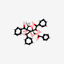 CC(=O)O[C@H]1O[C@](COC(=O)c2ccccc2)(C(O)C(=O)c2ccccc2)[C@](O)(C(=O)c2ccccc2)[C@]1(O)C(=O)c1ccccc1